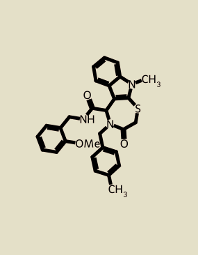 COc1ccccc1CNC(=O)C1c2c(n(C)c3ccccc23)SCC(=O)N1Cc1ccc(C)cc1